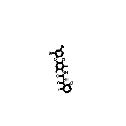 Cc1cc(Oc2ccc(Br)cc2Br)c(Cl)c(C)c1NC(=O)NC(=O)c1c(F)cccc1Cl